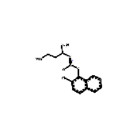 CSCCC(/N=[P+](\[O-])Oc1c(Cl)ccc2ccccc12)C(=O)O